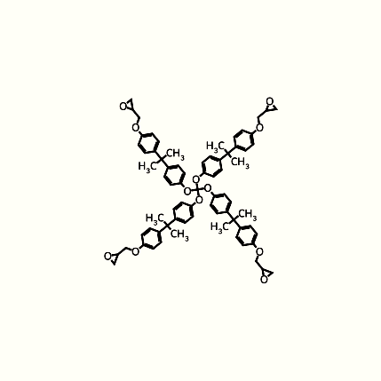 CC(C)(c1ccc(OCC2CO2)cc1)c1ccc(OC(Oc2ccc(C(C)(C)c3ccc(OCC4CO4)cc3)cc2)(Oc2ccc(C(C)(C)c3ccc(OCC4CO4)cc3)cc2)Oc2ccc(C(C)(C)c3ccc(OCC4CO4)cc3)cc2)cc1